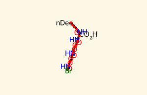 CCCCCCCCCCCCCCCCCC(=O)N[C@@H](CCCCNC(=O)CCOCCOCCNC(=O)CCOCCOCCNC(=O)CBr)C(=O)O